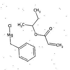 C=CC(=O)OC(C)[CH]C.[Cl][Mg][CH2]c1ccccc1